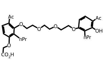 CCCc1c(OCCOCCOCCOc2c(C(C)=O)ccc(OCC(=O)O)c2CCC)ccc(C(C)=O)c1O